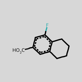 O=C(O)c1cc(F)c2c(c1)CCCC2